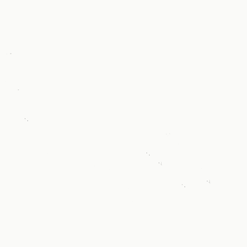 O=C(O)C(c1ncn2c1CC(F)C2)n1cc2c(Cl)cc(-c3ccc(OCCN4CCC5(CC4)CC(O)C5)cc3)c(Cl)c2n1